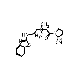 C[N+](C)(CCNc1nc2ccccc2s1)CC(=O)N1CCC[C@H]1C#N